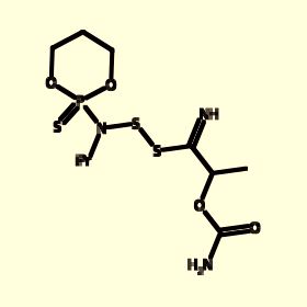 CC(OC(N)=O)C(=N)SSN(C(C)C)P1(=S)OCCCO1